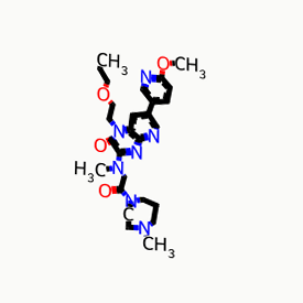 CCCOCCn1c(=O)c(N(C)CC(=O)N2CCCN(C)CC2)nc2ncc(-c3ccc(OC)nc3)cc21